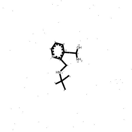 CC(C)(C)NCc1ncccc1C(N)O